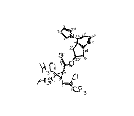 CC1(C)[C@H](C=C(Cl)C(F)(F)F)[C@@H]1C(=O)OC1Cc2cccc(-n3cccc3)c2C1